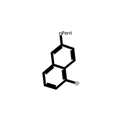 CCCCCc1ccc2c([O])cccc2c1